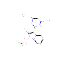 COc1cc(OC)nc(-c2c(N)n(S(=O)(=O)C(F)F)c3ccccc23)n1